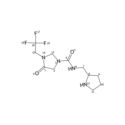 O=C1CN(C(=O)NCC2CCCN2)CN1CC(F)(F)F